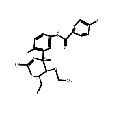 C[C@]1(c2cc(NC(=O)c3ccc(F)cn3)ccc2F)N=C(N)O[C@H](CF)[C@@H]1OCC(F)(F)F